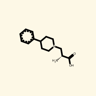 N[C@H](CN1CCC(c2ccccc2)CC1)C(=O)O